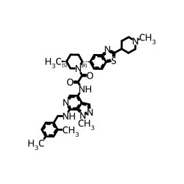 Cc1ccc(CNc2ncc(NC(=O)C(=O)N3C[C@@H](C)CC[C@@H]3c3ccc4sc(C5CCN(C)CC5)nc4c3)c3cnn(C)c23)c(C)c1